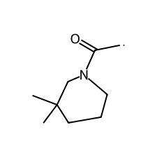 [CH2]C(=O)N1CCCC(C)(C)C1